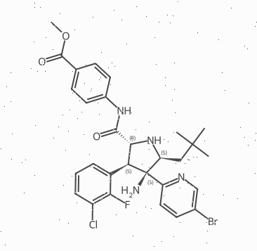 COC(=O)c1ccc(NC(=O)[C@@H]2N[C@@H](CC(C)(C)C)[C@](N)(c3ccc(Br)cn3)[C@H]2c2cccc(Cl)c2F)cc1